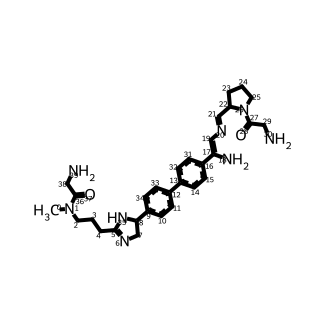 CN(CCCC1=NCC(c2ccc(-c3ccc(/C(N)=C/N=C/C4CCCN4C(=O)CN)cc3)cc2)N1)C(=O)CN